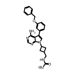 CC(C)(C)C(=O)NCC1CC(n2cc(-c3cccc(OCc4ccccc4)c3)c3c(N)ncnc32)C1